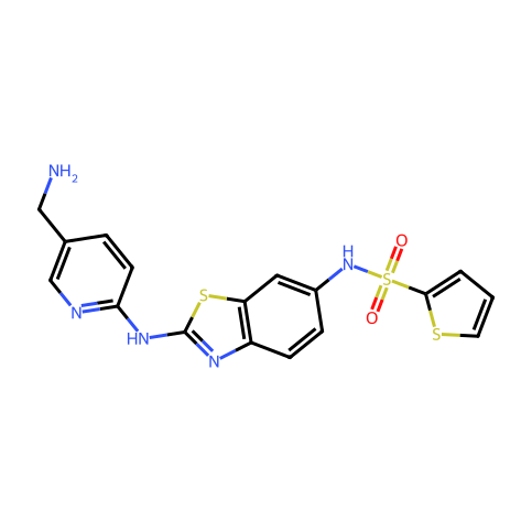 NCc1ccc(Nc2nc3ccc(NS(=O)(=O)c4cccs4)cc3s2)nc1